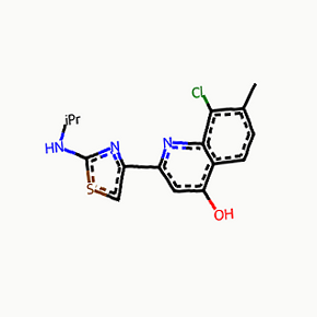 Cc1ccc2c(O)cc(-c3csc(NC(C)C)n3)nc2c1Cl